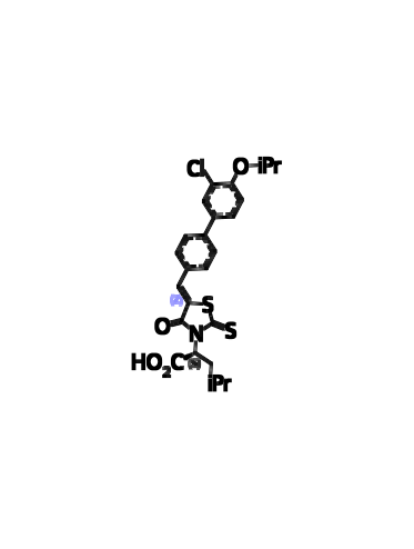 CC(C)C[C@@H](C(=O)O)N1C(=O)/C(=C/c2ccc(-c3ccc(OC(C)C)c(Cl)c3)cc2)SC1=S